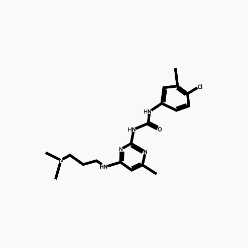 Cc1cc(NCCCN(C)C)nc(NC(=O)Nc2ccc(Cl)c(C)c2)n1